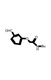 CCC(C)NC(=O)COc1cccc(C=O)c1